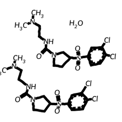 CN(C)CCNC(=O)N1CCC(S(=O)(=O)c2ccc(Cl)c(Cl)c2)C1.CN(C)CCNC(=O)N1CCC(S(=O)(=O)c2ccc(Cl)c(Cl)c2)C1.O